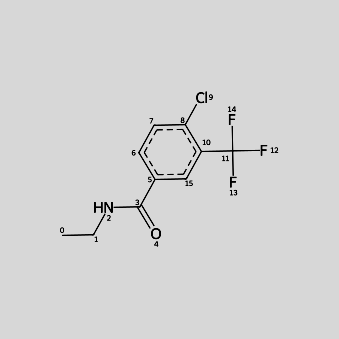 CCNC(=O)c1ccc(Cl)c(C(F)(F)F)c1